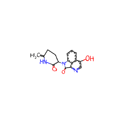 C=C1CCC(N2C(=O)c3ncc(O)c4cccc2c34)C(=O)N1